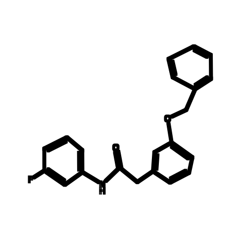 O=C(Cc1cccc(OCc2ccccc2)c1)Nc1cccc(F)c1